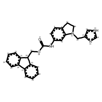 O=C(Nc1ccc2c(c1)N(Cc1c[nH]cn1)CC2)OCC1c2ccccc2-c2ccccc21